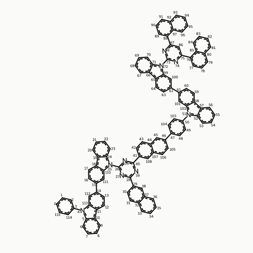 c1ccc(-n2c3ccccc3c3ccc(-c4ccc5c6ccccc6n(-c6nc(-c7ccc8ccccc8c7)nc(-c7ccc8cc(-c9ccc(-n%10c%11ccccc%11c%11ccc(-c%12ccc%13c%14ccccc%14n(-c%14nc(-c%15cccc%16ccccc%15%16)cc(-c%15cccc%16ccccc%15%16)n%14)c%13c%12)cc%11%10)cc9)ccc8c7)n6)c5c4)cc32)cc1